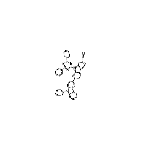 N#Cc1ccc2c3ccc(-c4ccc5c(c4)c4ccccc4n5-c4ccccc4)cc3n(-c3nc(-c4ccccc4)nc(-c4ccccc4)n3)c2c1